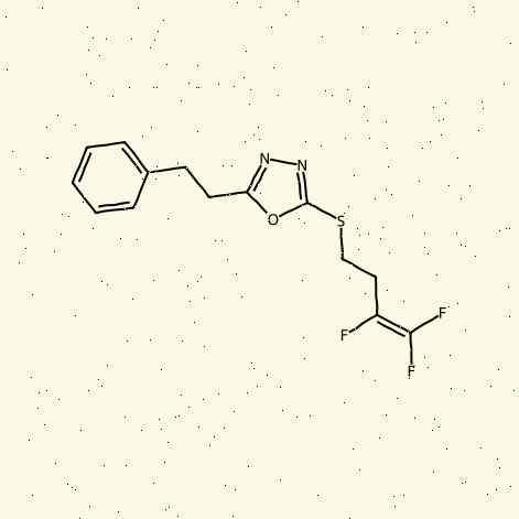 FC(F)=C(F)CCSc1nnc(CCc2ccccc2)o1